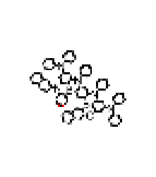 c1ccc(N(c2ccccc2)c2cc3c4c(c2)N(c2ccccc2)c2cc5c(cc2B4c2cc4ccccc4cc2O3)B2c3cc4ccccc4cc3N(c3ccc4ccccc4c3)c3cc(N(c4ccccc4)c4ccccc4)cc(c32)N5c2ccccc2)cc1